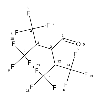 O=[C]C(C(C(F)(F)F)C(F)(F)F)C(C(F)(F)F)C(F)(F)F